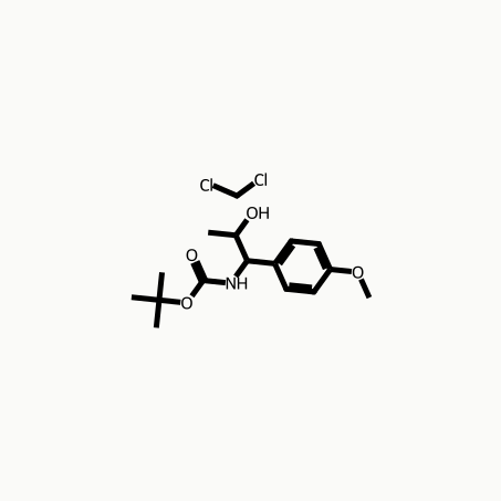 COc1ccc(C(NC(=O)OC(C)(C)C)C(C)O)cc1.ClCCl